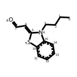 CCCCN1/C(=C/C=O)Sc2ccccc21